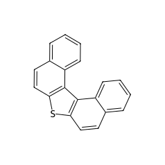 c1ccc2c(c1)ccc1sc3ccc4ccccc4c3c12